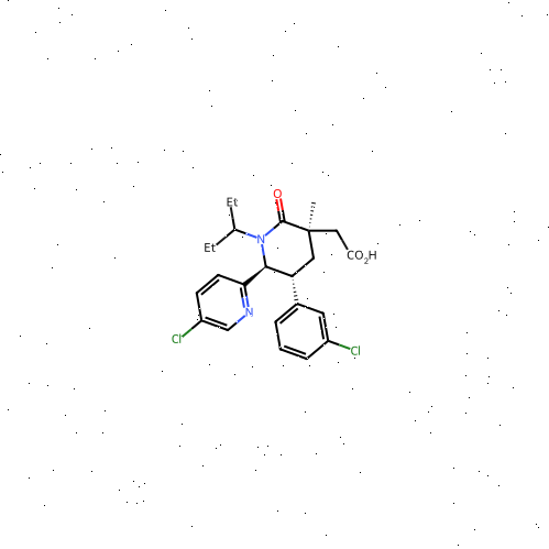 CCC(CC)N1C(=O)[C@@](C)(CC(=O)O)C[C@H](c2cccc(Cl)c2)[C@H]1c1ccc(Cl)cn1